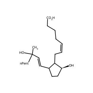 CCCCCC(C)(O)/C=C/C1CC[C@H](O)C1C/C=C\CCCC(=O)O